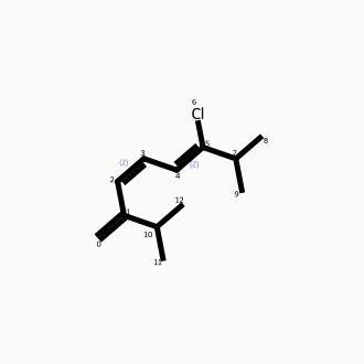 C=C(/C=C\C=C(/Cl)C(C)C)C(C)C